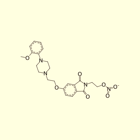 COc1ccccc1N1CCN(CCOc2ccc3c(c2)C(=O)N(CCO[N+](=O)[O-])C3=O)CC1